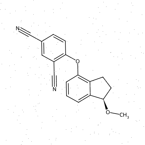 CO[C@@H]1CCc2c(Oc3ccc(C#N)cc3C#N)cccc21